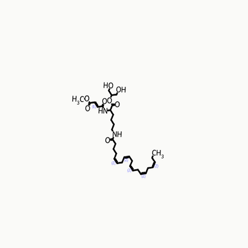 CC/C=C\C/C=C\C/C=C\C/C=C\C/C=C\CCCC(=O)NCCCCC(NC(=O)/C=C/C(=O)OC)C(=O)OC(CO)CO